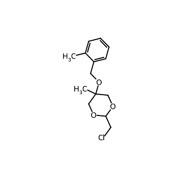 Cc1ccccc1COC1(C)COC(CCl)OC1